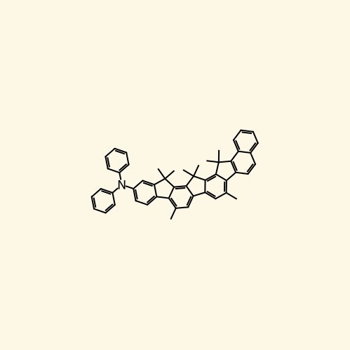 Cc1cc2c(c3c1-c1ccc(N(c4ccccc4)c4ccccc4)cc1C3(C)C)C(C)(C)c1c-2cc(C)c2c1C(C)(C)c1c-2ccc2ccccc12